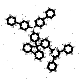 c1ccc(-c2ccc(N(c3ccc(-c4ccccc4)cc3)c3ccc(C4(c5cccc(-c6nc(-c7ccccc7)cc(-c7ccccc7)n6)c5)c5ccccc5-c5ccccc54)cc3)cc2)cc1